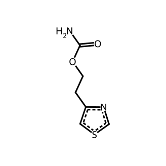 NC(=O)OCCc1cscn1